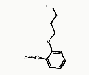 CCCCOc1cccc[c]1[Mg][Cl]